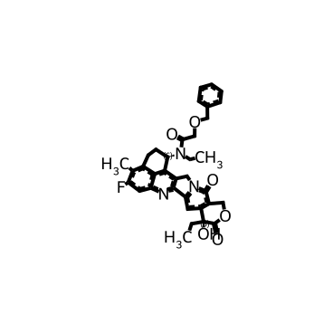 CCN(C(=O)COCc1ccccc1)[C@H]1CCc2c(C)c(F)cc3nc4c(c1c23)Cn1c-4cc2c(c1=O)COC(=O)[C@]2(O)CC